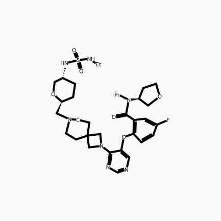 CCNS(=O)(=O)N[C@@H]1CC[C@@H](CN2CCC3(CC2)CN(c2ncncc2Oc2ccc(F)cc2C(=O)N(C(C)C)[C@H]2CCOC2)C3)OC1